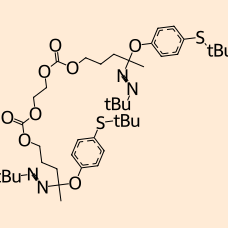 CC(C)(C)N=NC(C)(CCCOC(=O)OCCOC(=O)OCCCC(C)(N=NC(C)(C)C)Oc1ccc(SC(C)(C)C)cc1)Oc1ccc(SC(C)(C)C)cc1